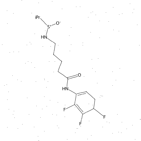 CC(C)[S+]([O-])NCCCCC(=O)NC1=CCC(F)C(F)=C1F